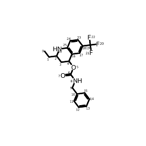 CCC1CC(OC(=O)NCc2ccccc2)c2cc(C(F)(F)F)ccc2N1